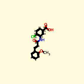 COc1ccccc1/C=C/C(=O)Nc1cc(C(=O)O)ccc1Cl